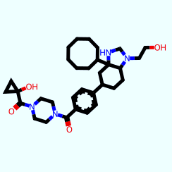 O=C(c1ccc(C2CCC3N(CCO)CNC3(C3CCCCCCC3)C2)cc1)N1CCN(C(=O)C2(O)CC2)CC1